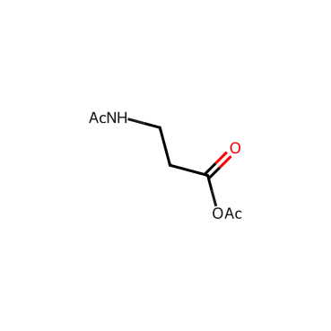 CC(=O)NCCC(=O)OC(C)=O